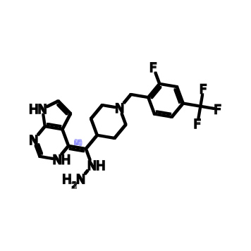 NN/C(=C1\NC=Nc2[nH]ccc21)C1CCN(Cc2ccc(C(F)(F)F)cc2F)CC1